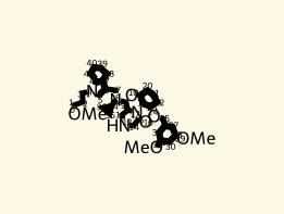 COCCCn1cc(CN(C(=O)C2CNCC(=O)N2c2ccccc2OCc2cc(OC)cc(OC)c2)C2CC2)c2ccccc21